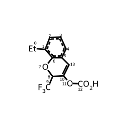 CCc1cccc2c1OC(C(F)(F)F)C(OC(=O)O)=C2